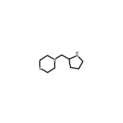 C1CNC(CN2CCSCC2)C1